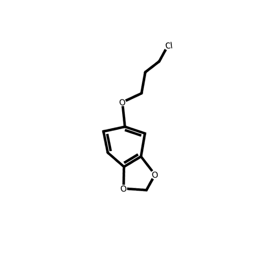 ClCCCOc1ccc2c(c1)OCO2